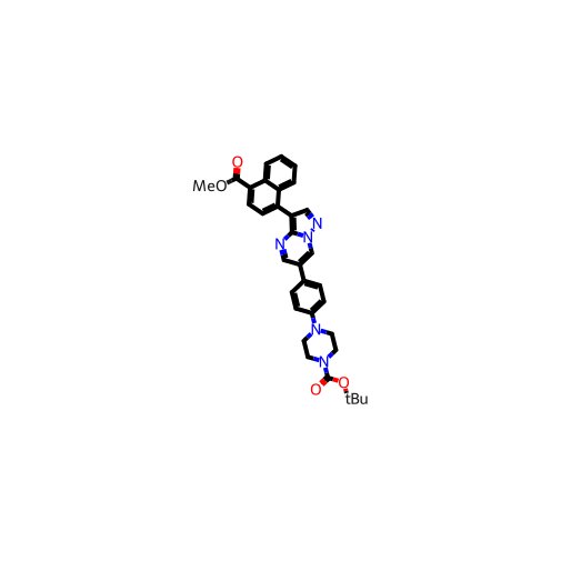 COC(=O)c1ccc(-c2cnn3cc(-c4ccc(N5CCN(C(=O)OC(C)(C)C)CC5)cc4)cnc23)c2ccccc12